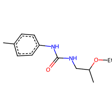 CCOC(C)CNC(=O)Nc1ccc(C)cc1